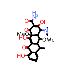 COC1C2C(=C(O)C3(OC)C(=O)C(C(N)=O)=C(O)C(N(C)C)C13)C(=O)c1c(O)cccc1C2C